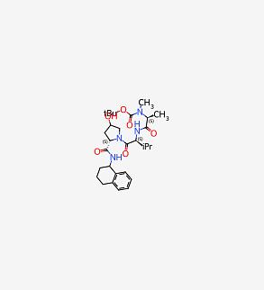 CC(C)[C@H](NC(=O)[C@H](C)N(C)C(=O)OC(C)(C)C)C(=O)N1CC(O)C[C@H]1C(=O)NC1CCCc2ccccc21